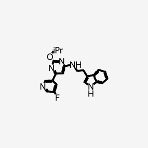 CC(C)Oc1nc(NCCc2c[nH]c3ccccc23)cc(-c2cncc(F)c2)n1